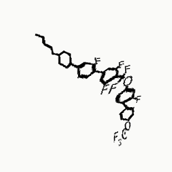 C/C=C/CCC1CCC(c2ccc(-c3cc(F)c(C(F)(F)Oc4ccc(-c5ccc(OC(F)(F)F)cc5)c(F)c4)c(F)c3)c(F)c2)CC1